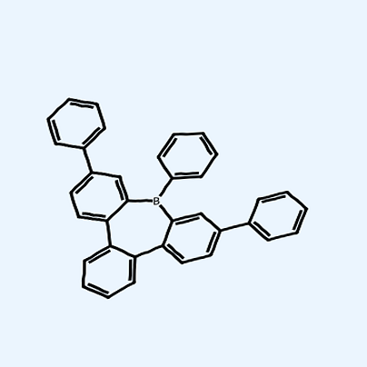 c1ccc(B2c3cc(-c4ccccc4)ccc3-c3ccccc3-c3ccc(-c4ccccc4)cc32)cc1